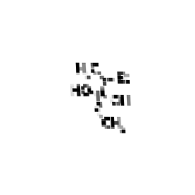 CC=P(O)(O)C(C)CC